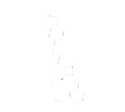 CNc1cc(CC2C(=O)N(C(=O)N[C@H](C)c3ccc4c(c3)OC(F)(F)O4)[C@@H]2C(=O)O)ccn1